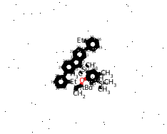 C=CCOc1c([Si](C)(C)C2c3cc(-c4ccccc4CC)ccc3-c3ccc(-c4ccccc4CC)cc32)cc(C)c([SiH](C)C)c1C(C)(C)C